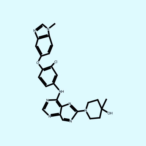 Cn1cnc2cc(Oc3ccc(Nc4ncnc5cnc(N6CCC(C)(O)CC6)nc45)cc3Cl)ccc21